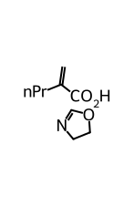 C1=NCCO1.C=C(CCC)C(=O)O